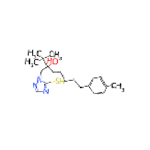 Cc1ccc(CCCCCC(O)(Cn2ncnc2S)C(C)(C)C)cc1